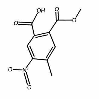 COC(=O)c1cc(C)c([N+](=O)[O-])cc1C(=O)O